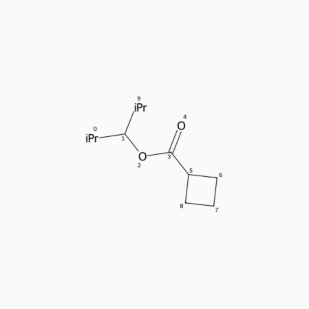 CC(C)C(OC(=O)C1CCC1)C(C)C